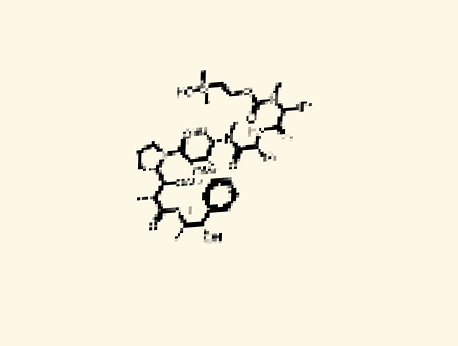 CC[C@H](C)[C@@H]([C@@H](CC(=O)N1CCC[C@H]1[C@@H](OC)[C@@H](C)C(=O)N[C@H](C)[C@@H](O)c1ccccc1)OC)N(C)C(=O)[C@@H](NC(=O)[C@H](C(C)C)N(C)C(=O)OCC[Si](C)(C)O)C(C)C